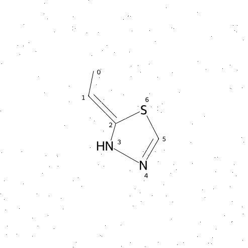 C/C=C1/NN=CS1